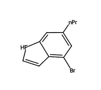 CCCc1cc(Br)c2cc[pH]c2c1